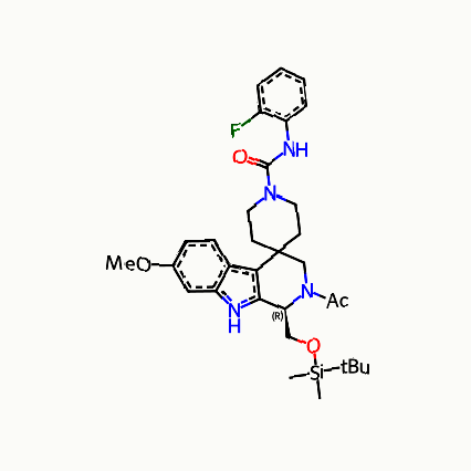 COc1ccc2c3c([nH]c2c1)[C@H](CO[Si](C)(C)C(C)(C)C)N(C(C)=O)CC31CCN(C(=O)Nc2ccccc2F)CC1